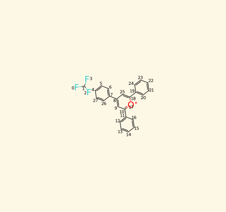 FC(F)F.c1ccc(-c2cc(-c3ccccc3)[o+]c(-c3ccccc3)c2)cc1